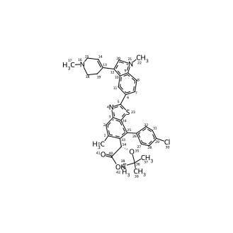 Cc1cc2nc(-c3ccc4c(c3)c(C3=CCN(C)CC3)cn4C)sc2c(-c2ccc(Cl)cc2)c1[C@H](OC(C)(C)C)C(=O)O